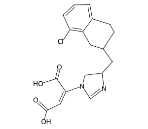 O=C(O)/C=C(\C(=O)O)N1C=NC(CC2CCc3cccc(Cl)c3C2)C1